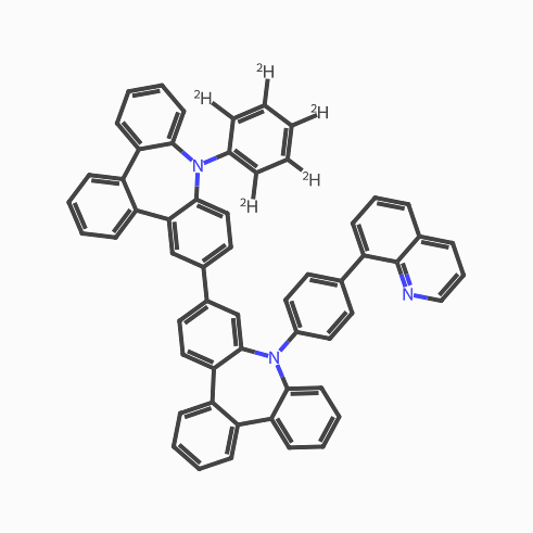 [2H]c1c([2H])c([2H])c(N2c3ccccc3-c3ccccc3-c3cc(-c4ccc5c(c4)N(c4ccc(-c6cccc7cccnc67)cc4)c4ccccc4-c4ccccc4-5)ccc32)c([2H])c1[2H]